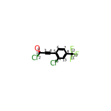 O=C(Cl)C#Cc1ccc(C(F)(F)F)cc1Cl